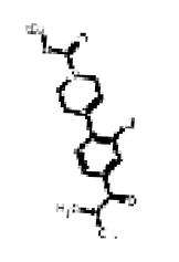 CN(C)C(=O)c1ccc(C2=CCN(C(=O)OC(C)(C)C)CC2)c(Cl)c1